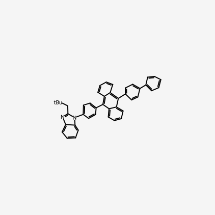 CC(C)(C)Cc1nc2ccccc2n1-c1ccc(-c2c3ccccc3c(-c3ccc(-c4ccccc4)cc3)c3ccccc23)cc1